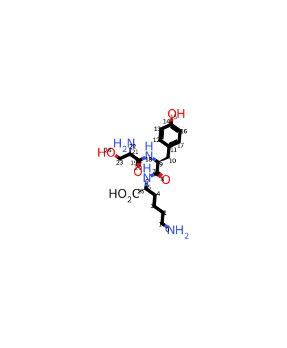 NCCCC[C@@H](NC(=O)[C@H](Cc1ccc(O)cc1)NC(=O)[C@H](N)CO)C(=O)O